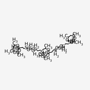 CC1C[SiH](C)O[SiH](C)O[SiH](CC[SiH2]O[SiH2]O[SiH2]CC[SiH]2OC(C)C[Si](C)(CC[SiH2]O[SiH2]O[SiH2]CC[SiH]3OC(C)C[SiH](C)O[SiH](C)O3)O[SiH](C)O2)O1